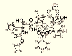 CCC(=O)O[C@H]1C(=O)[C@@]2(C)C([C@H](OC(=O)c3ccccc3)[C@]3(O)C[C@H](OC(=O)[C@H](O)[C@@H](NC(=O)OC4CCC4)c4cccs4)C(C)=C1C3(C)C)[C@]1(OC(C)=O)CC[C@@H]1C[C@@H]2O